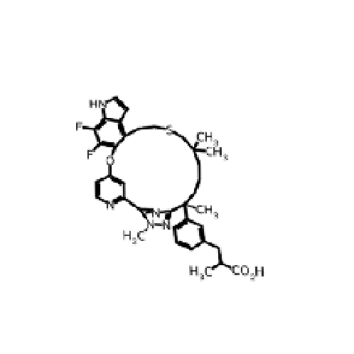 CC(Cc1cccc([C@@]2(C)CCCC(C)(C)CSCCc3c(c(F)c(F)c4[nH]ccc34)Oc3ccnc(c3)-c3nc2nn3C)c1)C(=O)O